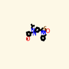 COc1cccc(-c2nc3cc(C4=NN(Cc5ccccc5)C(=O)SC4)ccc3n2CC(C)C)c1